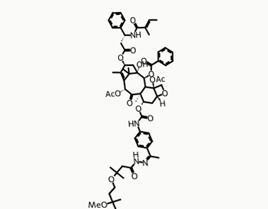 C/C=C(\C)C(=O)N[C@H](CC(=O)O[C@H]1C[C@@]2(O)[C@@H](OC(=O)c3ccccc3)C3[C@](C)(C(=O)[C@H](OC(C)=O)C(=C1C)C2(C)C)[C@@H](OC(=O)Nc1ccc(/C(C)=N\NC(=O)CC(C)(C)OCCC(C)(C)OC)cc1)C[C@H]1OC[C@@]31OC(C)=O)c1ccccc1